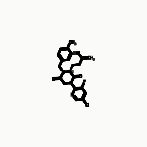 C=C(O)CC[C@H]1C(=O)N(c2ncc(Cl)cc2F)CC(=O)N1Cc1ccc(C)cc1